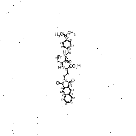 CC(C)C[C@H](N[C@H](CCN1C(=O)c2cc3ccccc3cc2C1=O)C(=O)O)C(=O)NCc1ccc(N(C)C)cc1